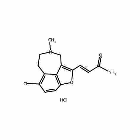 CN1CCc2c(Cl)ccc3oc(/C=C/C(N)=O)c(c23)C1.Cl